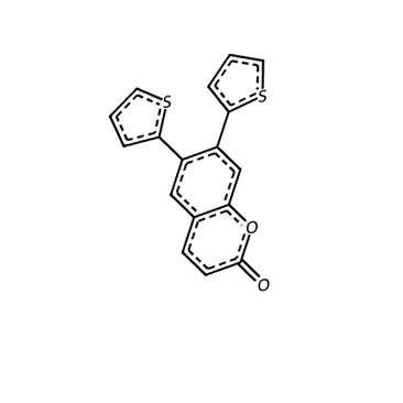 O=c1ccc2cc(-c3cccs3)c(-c3cccs3)cc2o1